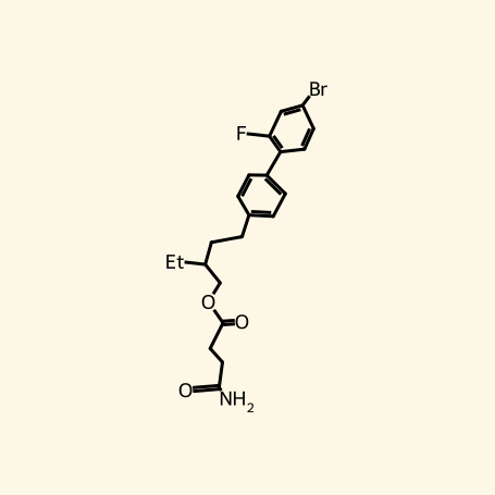 CCC(CCc1ccc(-c2ccc(Br)cc2F)cc1)COC(=O)CCC(N)=O